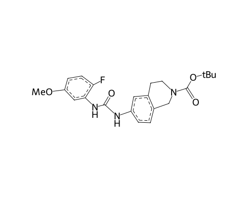 COc1ccc(F)c(NC(=O)Nc2ccc3c(c2)CCN(C(=O)OC(C)(C)C)C3)c1